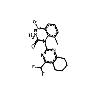 Cc1cccc([N+](=O)[O-])c1N(C(N)=O)c1nc2c(c(C(F)F)n1)CCCC2